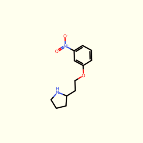 O=[N+]([O-])c1cccc(OCCC2CCCN2)c1